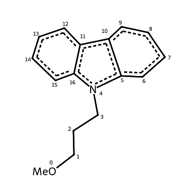 COCCCn1c2ccccc2c2ccccc21